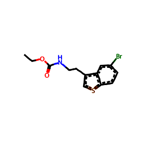 CCOC(=O)NCCc1csc2ccc(Br)cc12